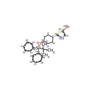 CC(C)(C)[Si](O[C@H]1CC[C@H](c2ncc(Br)s2)CC1)(c1ccccc1)c1ccccc1